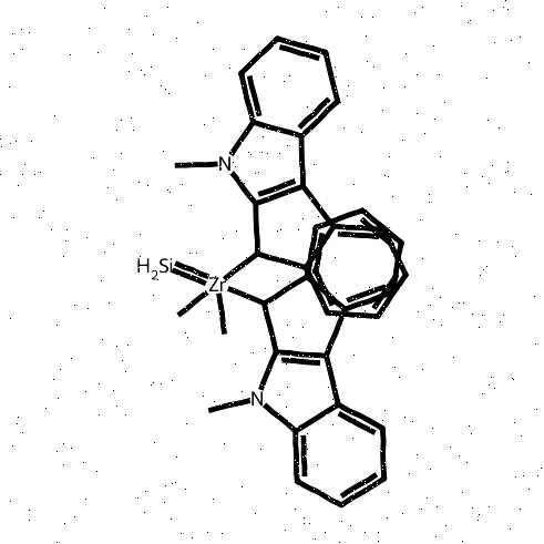 Cn1c2c(c3ccccc31)-c1ccccc1[CH]2[Zr]([CH3])([CH3])(=[SiH2])[CH]1c2ccccc2-c2c1n(C)c1ccccc21